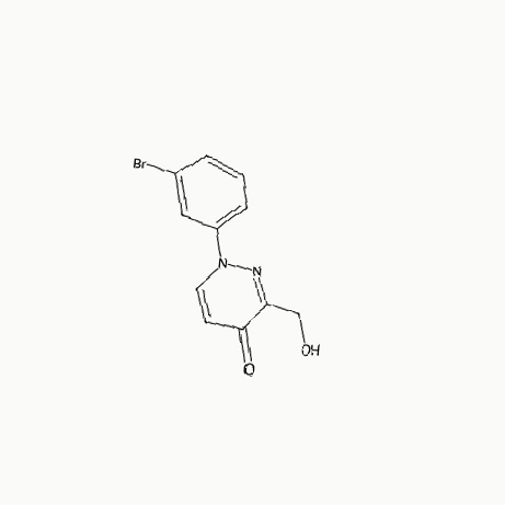 O=c1ccn(-c2cccc(Br)c2)nc1CO